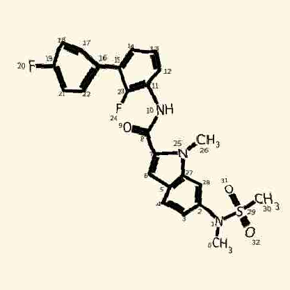 CN(c1ccc2cc(C(=O)Nc3cccc(-c4ccc(F)cc4)c3F)n(C)c2c1)S(C)(=O)=O